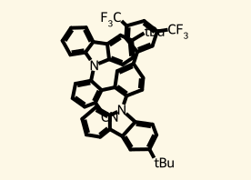 CC(C)(C)c1ccc2c(c1)c1ccccc1n2-c1ccc(-c2cc(C(F)(F)F)cc(C(F)(F)F)c2)cc1-c1c(C#N)cccc1-n1c2ccccc2c2cc(C(C)(C)C)ccc21